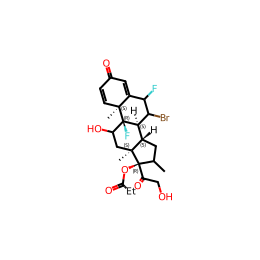 CCC(=O)O[C@]1(C(=O)CO)C(C)C[C@H]2[C@@H]3C(Br)C(F)C4=CC(=O)C=C[C@]4(C)[C@@]3(F)C(O)C[C@@]21C